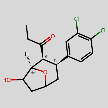 CCC(=O)[C@H]1[C@@H](c2ccc(Cl)c(Cl)c2)CC2CC(O)[C@@H]1O2